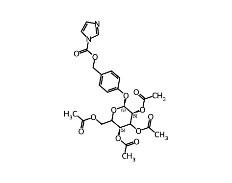 CC(=O)OCC1O[C@@H](Oc2ccc(COC(=O)n3ccnc3)cc2)[C@@H](OC(C)=O)C(OC(C)=O)[C@H]1OC(C)=O